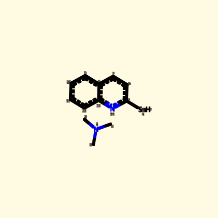 CN(C)C.[SnH][c]1ccc2ccccc2n1